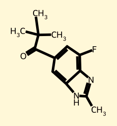 Cc1nc2c(F)cc(C(=O)C(C)(C)C)cc2[nH]1